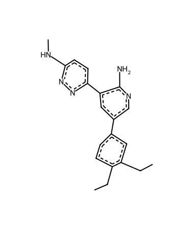 CCc1ccc(-c2cnc(N)c(-c3ccc(NC)nn3)c2)cc1CC